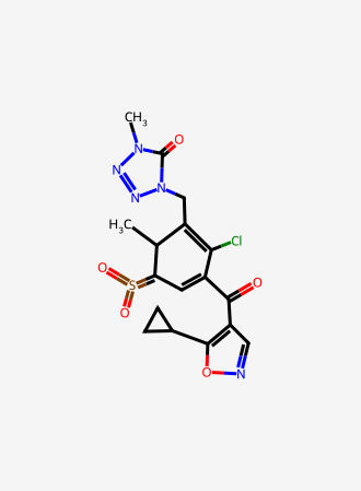 CC1C(Cn2nnn(C)c2=O)=C(Cl)C(C(=O)c2cnoc2C2CC2)=CC1=S(=O)=O